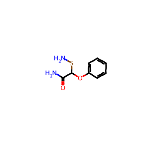 NSC(Oc1ccccc1)C(N)=O